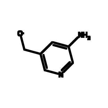 Nc1cncc(C[O])c1